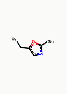 CC(C)Cc1cnc(C(C)(C)C)o1